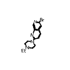 CCN1CCN(c2ccc3cc(Br)ncc3n2)CC1